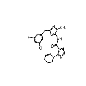 Cc1nc(Cc2cc(F)cc(Cl)c2)sc1NC(=O)c1ccnn1C1C=CCCC1